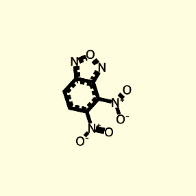 O=[N+]([O-])c1ccc2nonc2c1[N+](=O)[O-]